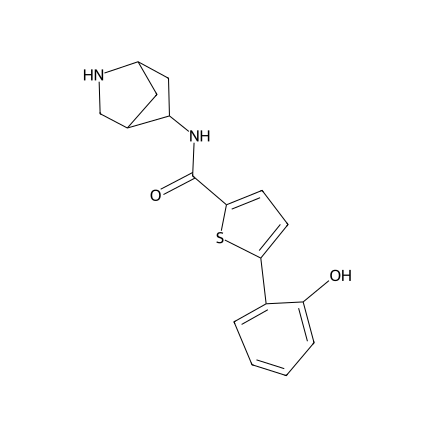 O=C(NC1CC2CC1CN2)c1ccc(-c2ccccc2O)s1